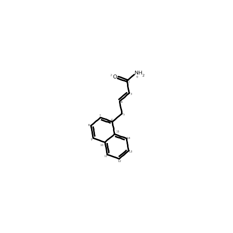 NC(=O)C=CCc1cccc2ccccc12